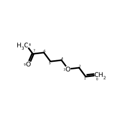 C=CCOCCCC(C)=O